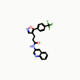 O=C(CCc1cnoc1-c1ccc(C(F)(F)F)cc1)Nc1cnc2ccccc2c1